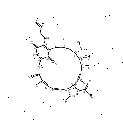 C=CCNC1=C2C[C@H](C)C[C@H](OC)[C@H](O)[C@@H](C)C=C(C)[C@@H](OC(N)=O)[C@H](OC)C=CC=C(C)C(=O)NC(=CC1=O)C2=O